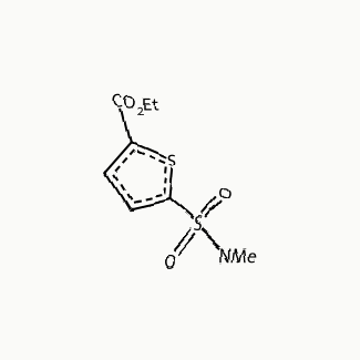 CCOC(=O)c1ccc(S(=O)(=O)NC)s1